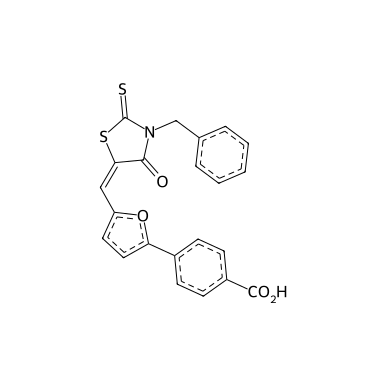 O=C(O)c1ccc(-c2ccc(C=C3SC(=S)N(Cc4ccccc4)C3=O)o2)cc1